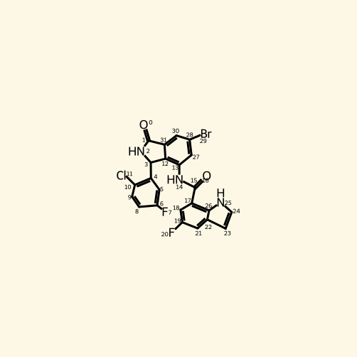 O=C1NC(c2cc(F)ccc2Cl)c2c(NC(=O)c3cc(F)cc4cc[nH]c34)cc(Br)cc21